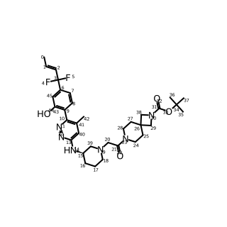 C/C=C/C(F)(F)c1ccc(-c2nnc(N[C@@H]3CCCN(CC(=O)N4CCC5(CC4)CN(C(=O)OC(C)(C)C)C5)C3)cc2C)c(O)c1